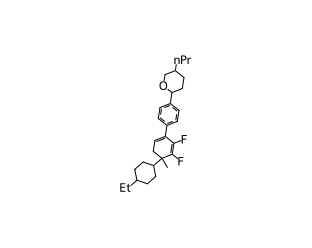 CCCC1CCC(c2ccc(C3=CCC(C)(C4CCC(CC)CC4)C(F)=C3F)cc2)OC1